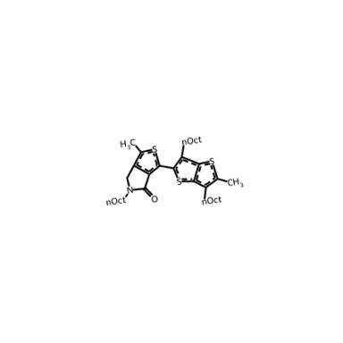 CCCCCCCCc1c(C)sc2c(CCCCCCCC)c(-c3sc(C)c4c3C(=O)N(CCCCCCCC)C4)sc12